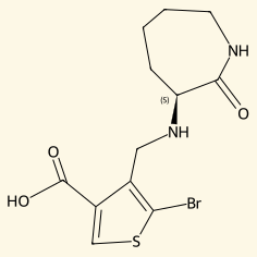 O=C(O)c1csc(Br)c1CN[C@H]1CCCCNC1=O